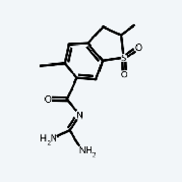 Cc1cc2c(cc1C(=O)N=C(N)N)S(=O)(=O)C(C)C2